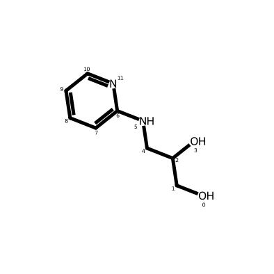 OCC(O)CNc1ccccn1